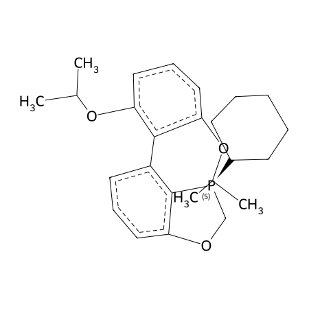 CC(C)Oc1cccc(OC(C)C)c1-c1cccc2c1[P@@](C1CCCCC1)CO2